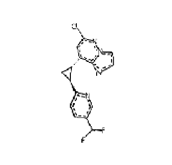 FC(F)c1ccc([C@H]2C[C@@H]2c2cc(Cl)nn3ccnc23)nc1